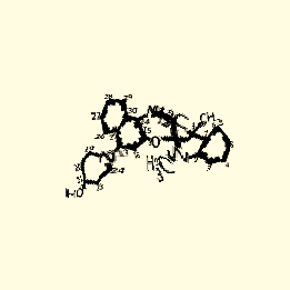 CN1c2ccccc2C(C)(C)C12C=Nc1c(cc(N3CCC(O)CC3)c3ccccc13)O2